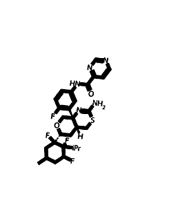 CC1CC(F)C(F)(C(C)C)C(F)([C@H]2C[C@H]3CSC(N)=N[C@@]3(c3cc(NC(=O)c4ccncn4)ccc3F)CO2)C1